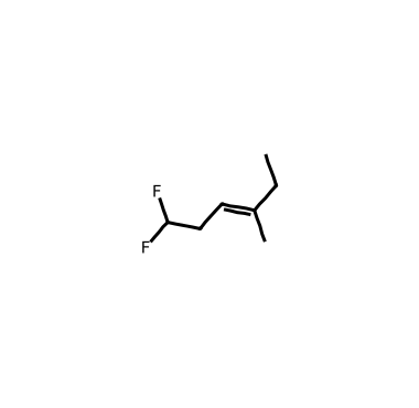 CCC(C)=CCC(F)F